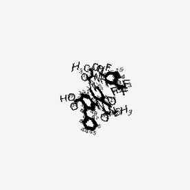 CC(C)[C@@H](NC(=O)c1cc(C(F)(F)F)ccc1F)C(=O)N1CCC2(CC1)C(=O)N(C)C(=O)N2c1ccc(C(=O)O)c(Cc2ccccc2)c1